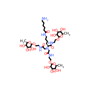 C[C@@H]1O[C@@H](OCCNC(=O)CN(CC(=O)NCCO[C@@H]2O[C@@H](C)[C@@H](O)[C@@H](O)[C@@H]2O)[C@@H](CCCCNC(=O)CCCCCN)C(=O)NCCO[C@@H]2O[C@@H](C)[C@@H](O)[C@@H](O)[C@@H]2O)[C@@H](O)[C@H](O)[C@@H]1O